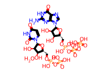 Nc1nc2c(ncn2[C@@H]2O[C@H](COP(=O)(O)OP(=O)(O)OP(=O)(O)O)[C@@H](O)[C@H]2O)c(=O)[nH]1.O.O=c1ccn([C@@H]2O[C@H](COP(=O)(O)OP(=O)(O)O)[C@@H](O)[C@H]2O)c(=O)[nH]1